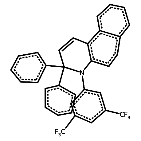 FC(F)(F)c1cc(N2c3ccc4ccccc4c3C=CC2(c2ccccc2)c2ccccc2)cc(C(F)(F)F)c1